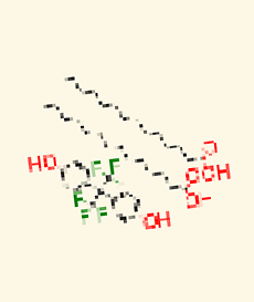 CCCCCCCCCCCCCC(=O)O.CCCCCCCCCCCCCC(=O)O.Oc1ccc(C(c2ccc(O)cc2)(C(F)(F)F)C(F)(F)F)cc1